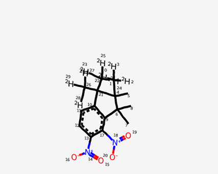 [2H]C([2H])([2H])C1(C)C(C)(C)c2c(ccc([N+](=O)[O-])c2[N+](=O)[O-])C1(C([2H])([2H])[2H])C([2H])([2H])[2H]